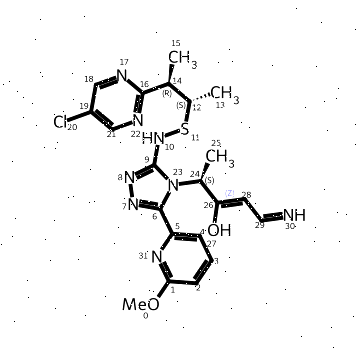 COc1cccc(-c2nnc(NS[C@@H](C)[C@H](C)c3ncc(Cl)cn3)n2[C@@H](C)/C(O)=C/C=N)n1